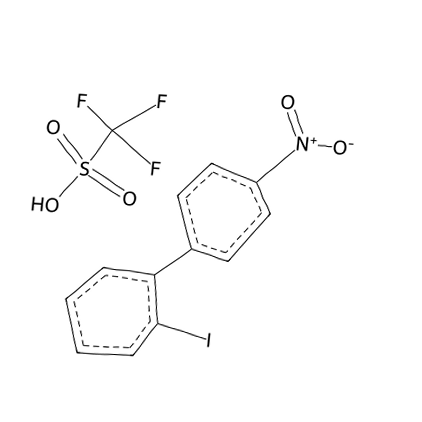 O=S(=O)(O)C(F)(F)F.O=[N+]([O-])c1ccc(-c2ccccc2I)cc1